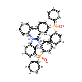 O=P(c1ccccc1)(c1ccccc1)c1ccc2c3ccccc3n3c4cccc(P(=O)(c5ccccc5)c5ccccc5)c4nc3c2c1